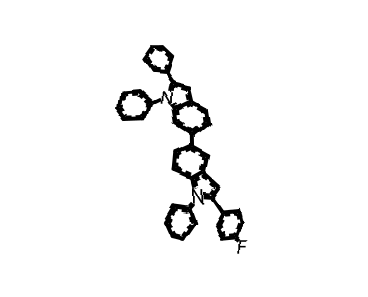 Fc1ccc(-c2cc3cc(-c4ccc5cc(-c6ccccc6)n(-c6ccccc6)c5c4)ccc3n2-c2ccccc2)cc1